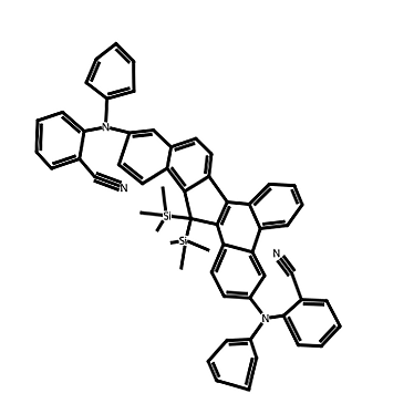 C[Si](C)(C)C1([Si](C)(C)C)c2c(ccc3cc(N(c4ccccc4)c4ccccc4C#N)ccc23)-c2c1c1ccc(N(c3ccccc3)c3ccccc3C#N)cc1c1ccccc21